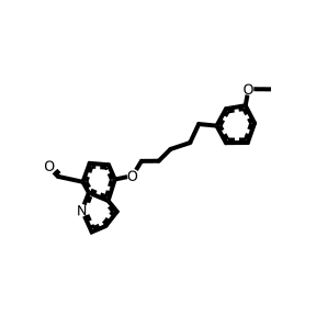 COc1cccc(CCCCCOc2ccc(C=O)c3ncccc23)c1